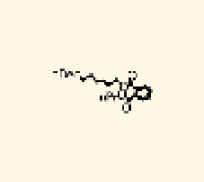 CCCCCCCCCCCCCCCCOC(=O)c1ccccc1C(=O)OCCC